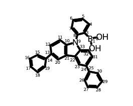 OB(O)c1ccccc1-n1c2ccc(-c3ccccc3)cc2c2cc(-c3ccccc3)ccc21